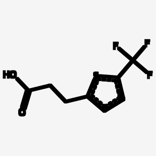 O=C(O)CCc1ccc(C(F)(F)F)s1